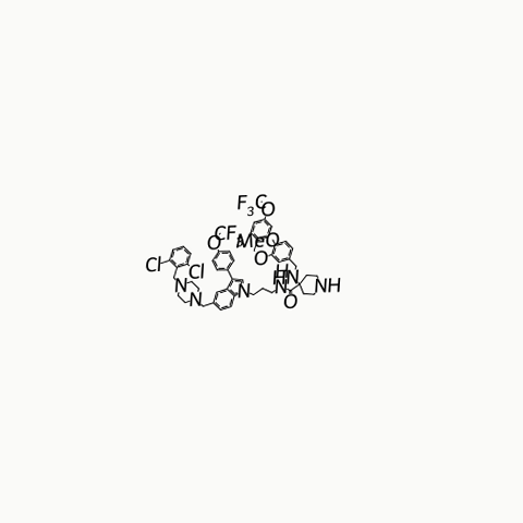 COc1ccc(CNC2(C(=O)NCCCn3cc(-c4ccc(OC(F)(F)F)cc4)c4cc(CN5CCN(Cc6c(Cl)cccc6Cl)CC5)ccc43)CCNCC2)cc1OCc1ccc(OC(F)(F)F)cc1